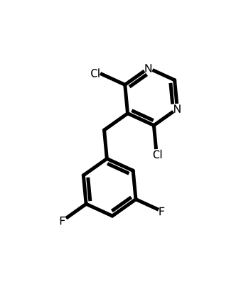 Fc1cc(F)cc(Cc2c(Cl)ncnc2Cl)c1